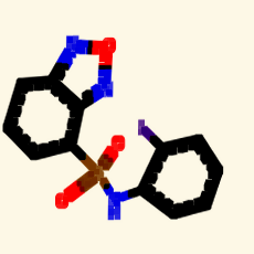 O=S(=O)(Nc1ccccc1I)c1cccc2nonc12